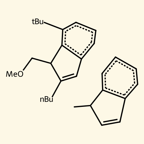 CC1C=Cc2ccccc21.CCCCC1=Cc2cccc(C(C)(C)C)c2C1COC